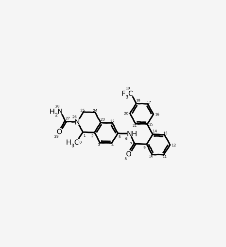 CC1c2ccc(NC(=O)c3ccccc3-c3ccc(C(F)(F)F)cc3)cc2CCN1C(N)=O